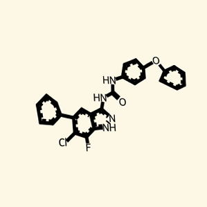 O=C(Nc1ccc(Oc2ccccc2)cc1)Nc1n[nH]c2c(F)c(Cl)c(-c3ccccc3)cc12